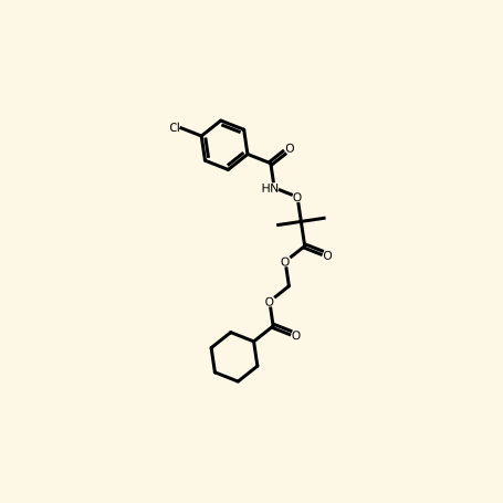 CC(C)(ONC(=O)c1ccc(Cl)cc1)C(=O)OCOC(=O)C1CCCCC1